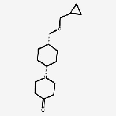 O=C1CCN([C@H]2CC[C@@H](COCC3CC3)CC2)CC1